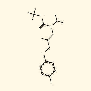 CC(C)N(CC(O)COc1ccc(N)cc1)C(=O)OC(C)(C)C